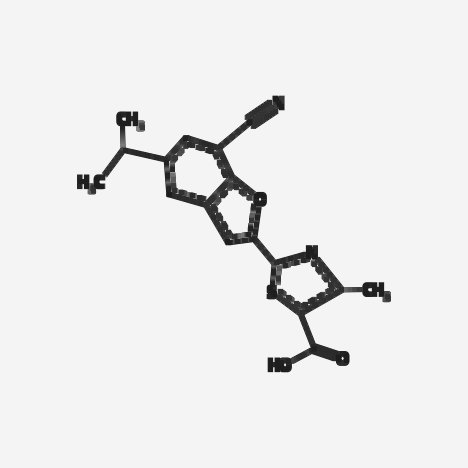 Cc1nc(-c2cc3cc(C(C)C)cc(C#N)c3o2)sc1C(=O)O